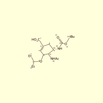 CCC(CC)OC1C=C(C(=O)O)C[C@H](NC(=O)OC(C)(C)C)C1NC(C)=O